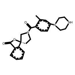 Cc1cc(N2CCNCC2)ccc1C(=O)N1CC[C@@]2(C1)OC(=O)c1ccccc12